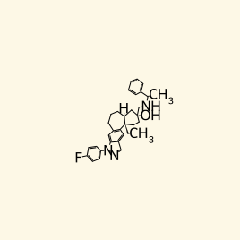 CC[C@]12CC[C@](O)(CN[C@H](C)c3ccccc3)C[C@@H]1CCCc1cc3c(cnn3-c3ccc(F)cc3)cc12